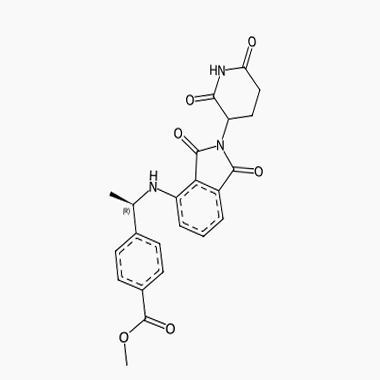 COC(=O)c1ccc([C@@H](C)Nc2cccc3c2C(=O)N(C2CCC(=O)NC2=O)C3=O)cc1